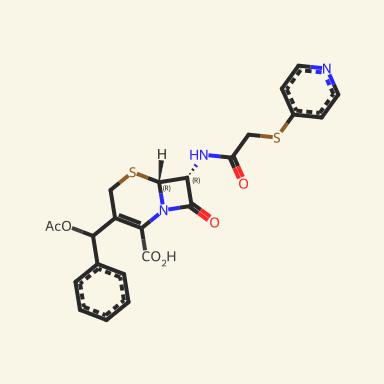 CC(=O)OC(C1=C(C(=O)O)N2C(=O)[C@@H](NC(=O)CSc3ccncc3)[C@H]2SC1)c1ccccc1